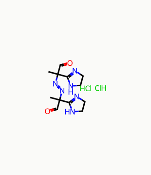 CC(C=O)(N=NC(C)(C=O)C1=NCCN1)C1=NCCN1.Cl.Cl